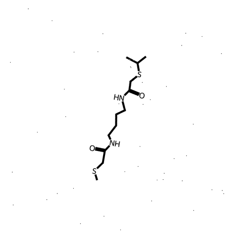 CSCC(=O)NCCCCNC(=O)CSC(C)C